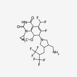 COC1c2c(c(=O)[nH]c(=O)n2C2CC2)C(C(F)F)=C(F)C1N1CC(CN)C(CC(C(F)(F)F)C(F)(F)F)C1